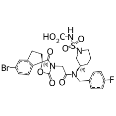 O=C(O)NS(=O)(=O)N1CCC[C@@H](N(Cc2ccc(F)cc2)C(=O)CN2C(=O)O[C@@]3(CCc4cc(Br)ccc43)C2=O)C1